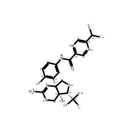 NC1=N[C@@]2(c3cc(NC(=O)c4cnc(C(F)F)cn4)ccc3F)CO[C@H](C(F)(F)F)[C@H]2CS1